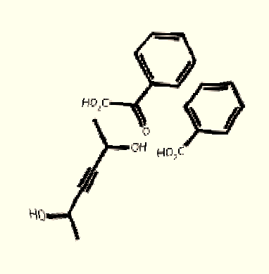 CC(O)C#CC(C)O.O=C(O)C(=O)c1ccccc1.O=C(O)c1ccccc1